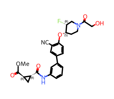 COC(=O)[C@@H]1C[C@H]1C(=O)Nc1cccc(-c2ccc(O[C@H]3CCN(C(=O)CO)C[C@H]3F)c(C#N)c2)c1